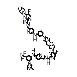 Cc1cn(-c2cc(Nc3ccc(/C=N/Nc4ncc(F)c(N5CCOC(Cc6cn(-c7cccc(Nc8ccc(/C=N/Nc9ncc(F)c(N%10CCOCC%10)n9)nc8)c7)cn6)C5)n4)nc3)cc(C(F)(F)F)c2)cn1